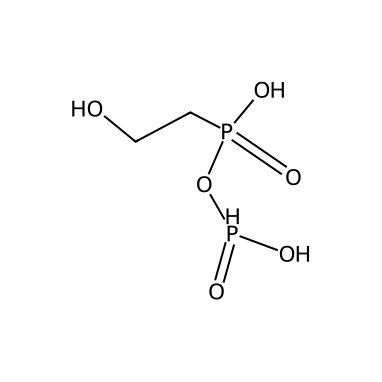 O=[PH](O)OP(=O)(O)CCO